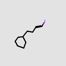 IC=CCCC1CCCCC1